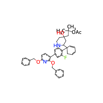 CC(=O)OC(C)(C)CC1(O)CCNC(C2(c3ccc(-c4ccc(OCc5ccccc5)nc4OCc4ccccc4)cc3F)C=CC=CC2)C1